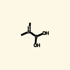 C[SiH](C)B(O)O